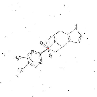 Cn1ccc(C2CC3Cc4[nH]ncc4C(C2)N3S(=O)(=O)c2ccc(C(F)(F)F)cc2)n1